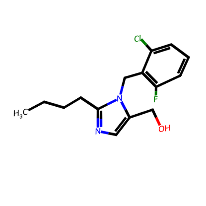 CCCCc1ncc(CO)n1Cc1c(F)cccc1Cl